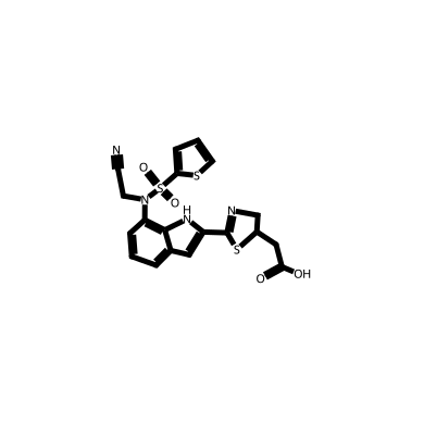 N#CCN(c1cccc2cc(C3=NCC(CC(=O)O)S3)[nH]c12)S(=O)(=O)c1cccs1